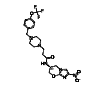 O=C(CCN1CCN(Cc2ccc(OC(F)(F)F)cc2)CC1)N[C@@H]1COc2nc([N+](=O)[O-])cn2C1